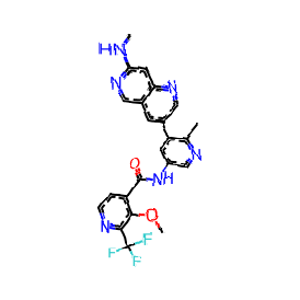 CNc1cc2ncc(-c3cc(NC(=O)c4ccnc(C(F)(F)F)c4OC)cnc3C)cc2cn1